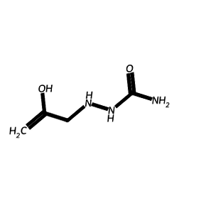 C=C(O)CNNC(N)=O